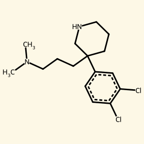 CN(C)CCCC1(c2ccc(Cl)c(Cl)c2)CCCNC1